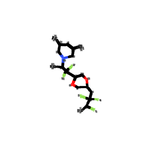 FC(C(F)(F)F)C(F)(F)CC1COC(C(F)(F)C(N2CC(C(F)(F)F)CC(C(F)(F)F)C2)C(F)(F)F)CO1